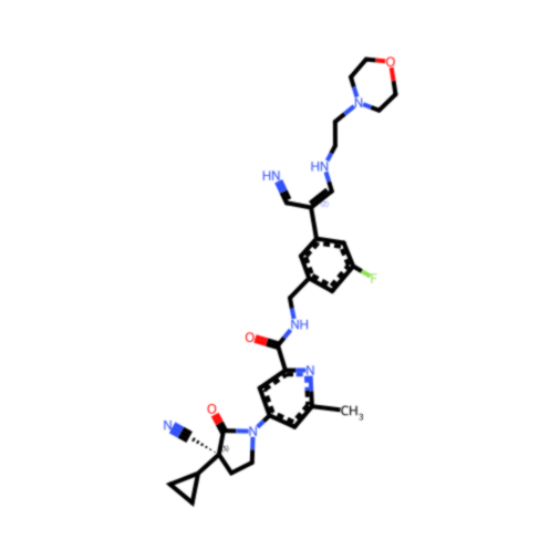 Cc1cc(N2CC[C@@](C#N)(C3CC3)C2=O)cc(C(=O)NCc2cc(F)cc(/C(C=N)=C/NCCN3CCOCC3)c2)n1